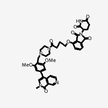 COc1cc(-c2cn(C)c(=O)c3cnccc23)cc(OC)c1CN1CCN(C(=O)CCCOc2cccc3c2C(=O)N(C2CCC(=O)NC2=O)C3=O)CC1